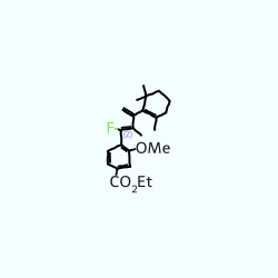 C=C(C1=C(C)CCCC1(C)C)/C(C)=C(\F)c1ccc(C(=O)OCC)cc1OC